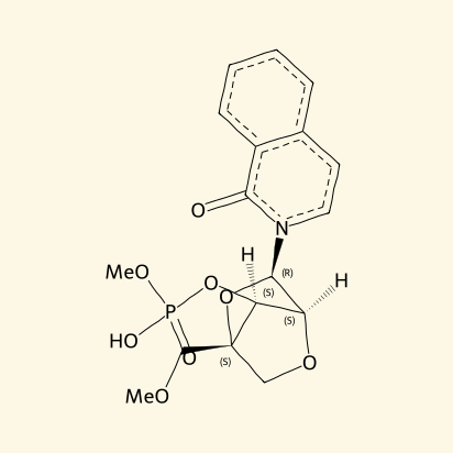 COC[C@@]12CO[C@H]([C@H](n3ccc4ccccc4c3=O)O1)[C@@H]2OP(=O)(O)OC